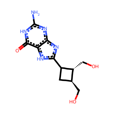 Nc1nc2nc(C3C[C@H](CO)[C@H]3CO)[nH]c2c(=O)[nH]1